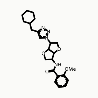 COc1ccccc1C(=O)NC1COC2C1OCC2n1cc(CC2CCCCC2)nn1